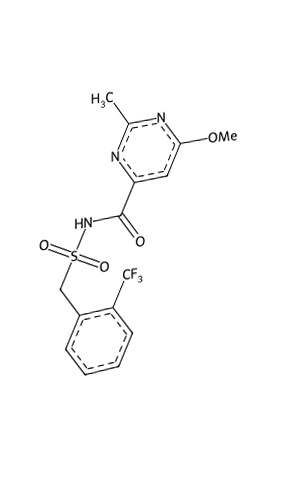 COc1cc(C(=O)NS(=O)(=O)Cc2ccccc2C(F)(F)F)nc(C)n1